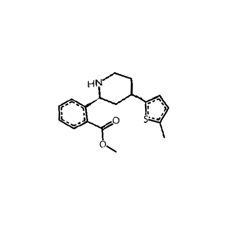 COC(=O)c1ccccc1[C@@H]1CC(c2ccc(C)s2)CCN1